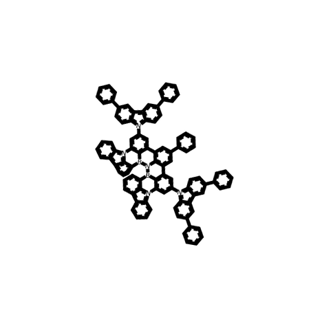 c1ccc(-c2cc3c4c(c2)-c2cc(-n5c6ccc(-c7ccccc7)cc6c6cc(-c7ccccc7)ccc65)cc5c2B(c2cccc6c7ccccc7n-5c26)N4B2c4c-3cc(-n3c5ccc(-c6ccccc6)cc5c5cc(-c6ccccc6)ccc53)cc4-n3c4ccccc4c4cccc2c43)cc1